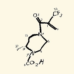 C=C(C(=O)N1CCN(C(=O)O)[C@H](C)C1)C(F)(F)F